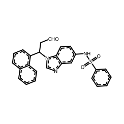 O=CCC(c1cccc2ccccc12)n1cnc2cc(NS(=O)(=O)c3ccccc3)ccc21